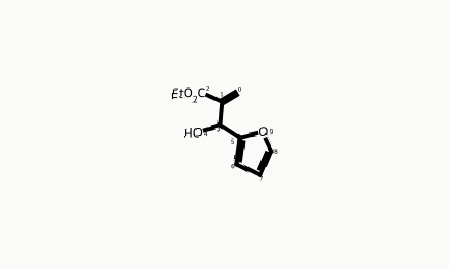 C=C(C(=O)OCC)C(O)c1ccco1